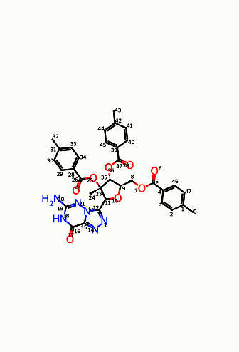 Cc1ccc(C(=O)OC[C@H]2OC(c3nnc4c(=O)[nH]c(N)nn34)[C@](C)(OC(=O)c3ccc(C)cc3)[C@@H]2OC(=O)c2ccc(C)cc2)cc1